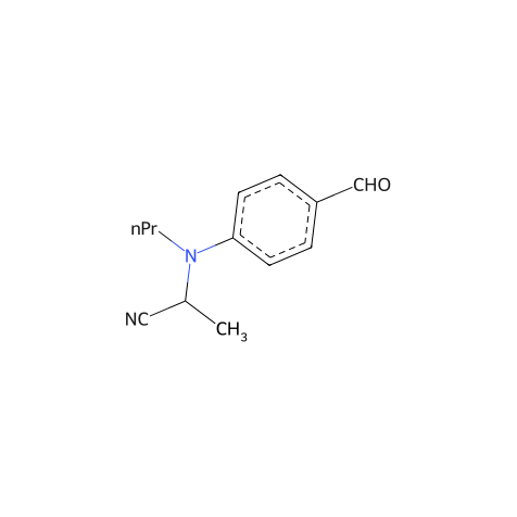 CCCN(c1ccc(C=O)cc1)C(C)C#N